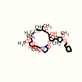 CCC1/C=C(\C)CC(C)CC(OC)C2OC(O)(C(=O)C(=O)N3CCCCC3C(=O)OC(C(C)=CC3CCC(Oc4cc5ccccc5s4)C(OC)C3)C(C)C(O)CC1=O)C(C)CC2OC